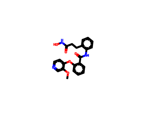 COc1cnccc1Oc1ccccc1C(=O)Nc1ccccc1CCC(=O)NO